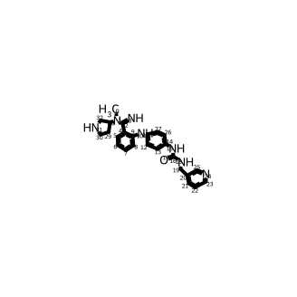 CN(C(=N)c1ccccc1Nc1ccc(NC(=O)NCc2cccnc2)cc1)C1CCNC1